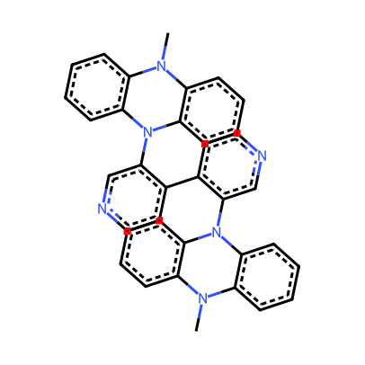 CN1c2ccccc2N(c2cnccc2-c2ccncc2N2c3ccccc3N(C)c3ccccc32)c2ccccc21